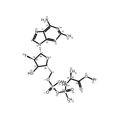 COP(=O)(OC[C@H]1O[C@@H](n2cnc3c(N)nc(C)nc32)[C@H](F)C1O)OP(C)(=O)N[C@@H](C)C(=O)OC(C)C